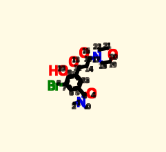 CN(C)C(=O)c1cc(Br)c(O)c(C(=O)CC(=O)N2CCOCC2)c1